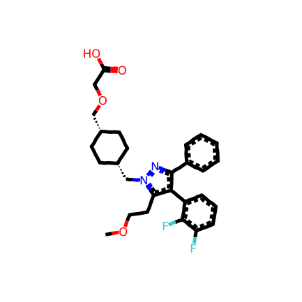 COCCc1c(-c2cccc(F)c2F)c(-c2ccccc2)nn1C[C@H]1CC[C@@H](COCC(=O)O)CC1